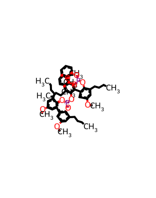 CCCCc1cc(OC)cc(-c2cc(OC)cc(CCCC)c2Op2oc3c(CCCC)cc(OC)cc3c3cc(OC)cc(CCCC)c3o2)c1OP(Oc1ccccc1C)Oc1ccccc1C